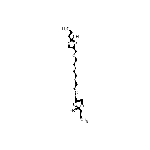 CCCC1(O)OCC(COCCCCCCCCOCC2COC(O)(CCC)O2)O1